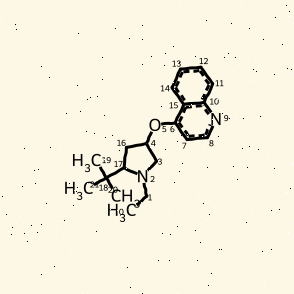 CCN1CC(Oc2ccnc3ccccc23)CC1C(C)(C)C